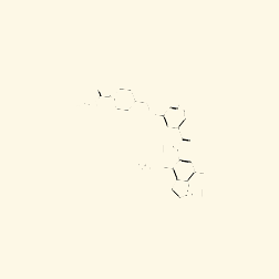 COc1c(NC(=O)c2cncc(OCC3CCN(C(=O)OC(C)(C)C)CC3)c2)cc(Cl)c2[nH]ccc12